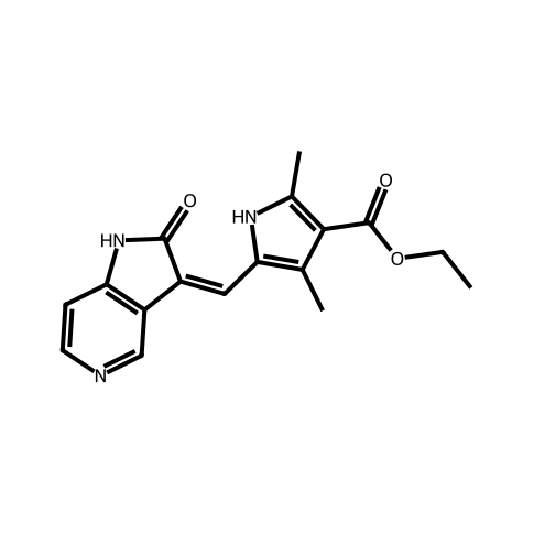 CCOC(=O)c1c(C)[nH]c(C=C2C(=O)Nc3ccncc32)c1C